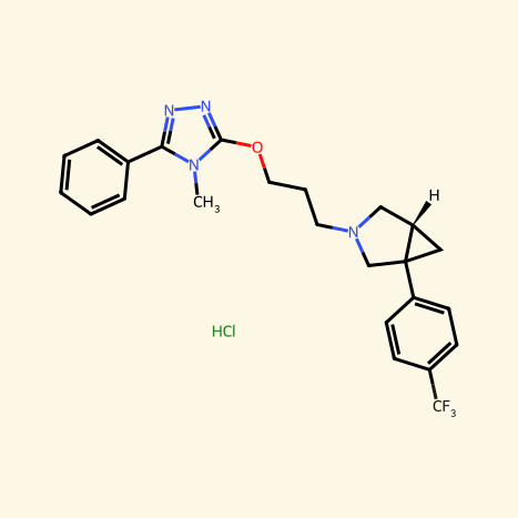 Cl.Cn1c(OCCCN2C[C@@H]3CC3(c3ccc(C(F)(F)F)cc3)C2)nnc1-c1ccccc1